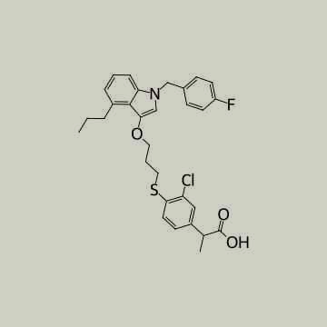 CCCc1cccc2c1c(OCCCSc1ccc(C(C)C(=O)O)cc1Cl)cn2Cc1ccc(F)cc1